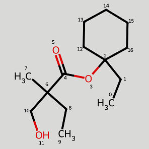 CCC1(OC(=O)C(C)(CC)CO)CCCCC1